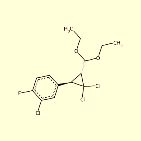 CCOC(OCC)[C@H]1[C@H](c2ccc(F)c(Cl)c2)C1(Cl)Cl